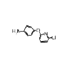 Nc1ccc(Oc2cccc(Cl)n2)cc1